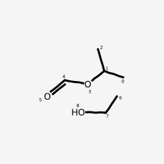 CC(C)OC=O.CCO